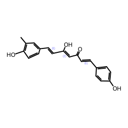 Cc1cc(/C=C/C(O)=C/C(=O)/C=C/c2ccc(O)cc2)ccc1O